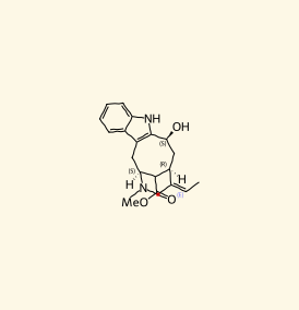 C/C=C1/CN(C)[C@H]2Cc3c([nH]c4ccccc34)[C@@H](O)C[C@@H]1C2C(=O)OC